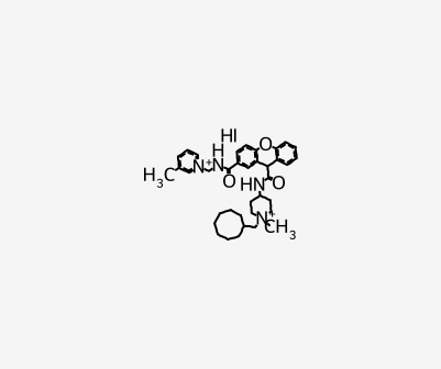 Cc1ccc[n+](CNC(=O)c2ccc3c(c2)C(C(=O)NC2CC[N+](C)(CC4CCCCCCC4)CC2)c2ccccc2O3)c1.I